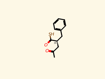 CC(=O)C[C@H](Cc1ccccc1)C(=O)S